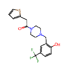 O=C(Cc1cccs1)N1CCN(Cc2cc(C(F)(F)F)ccc2O)CC1